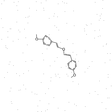 COc1ccc(C=COC=Cc2ccc(OC)cc2)cc1